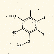 CCCCOc1c(O)c(C(=O)O)c(I)c(I)c1I